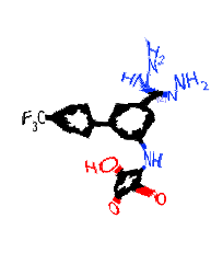 N/N=C(\NN)c1cc(Nc2c(O)c(=O)c2=O)cc(-c2ccc(C(F)(F)F)cc2)c1